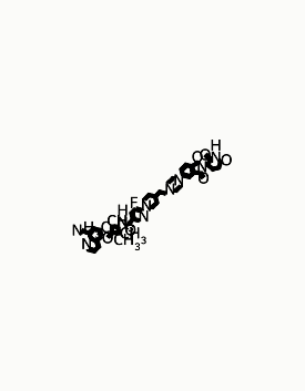 CC1(C)C(NC(=O)c2cnc(N3CCC(CCN4CCN(c5ccc6c(c5)C(=O)N(C5CCC(=O)NC5=O)C6=O)CC4)CC3)c(F)c2)C(C)(C)C1Oc1ccc(C#N)c2ncccc12